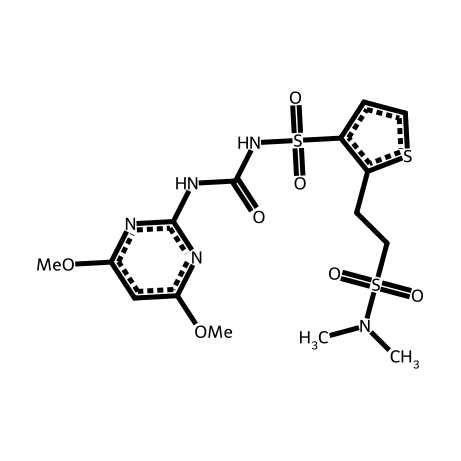 COc1cc(OC)nc(NC(=O)NS(=O)(=O)c2ccsc2CCS(=O)(=O)N(C)C)n1